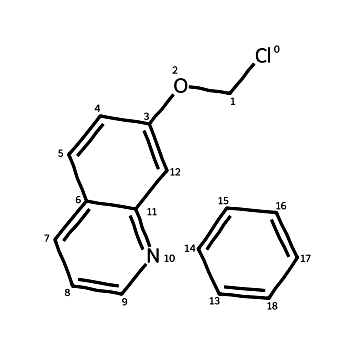 ClCOc1ccc2cccnc2c1.c1ccccc1